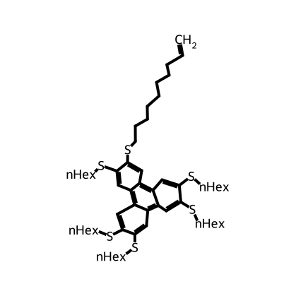 C=CCCCCCCCCSc1cc2c3cc(SCCCCCC)c(SCCCCCC)cc3c3cc(SCCCCCC)c(SCCCCCC)cc3c2cc1SCCCCCC